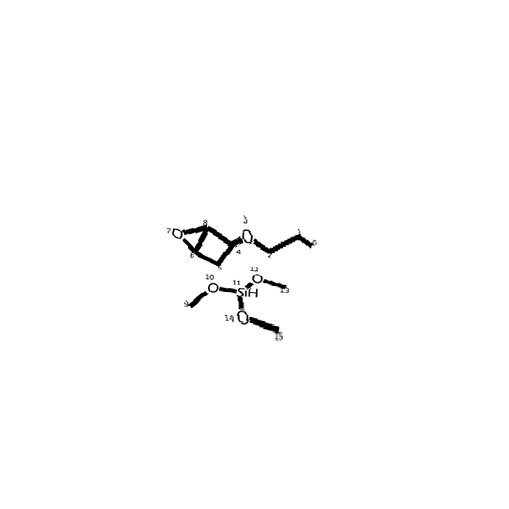 CCCOC1CC2OC12.CO[SiH](OC)OC